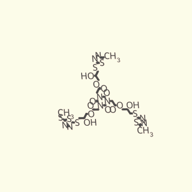 CSc1nnc(SCC(O)COC(=O)Cn2c(=O)n(CC(=O)OCC(O)CSc3nnc(C)s3)c(=O)n(CC(=O)OCC(O)CSc3nnc(C)s3)c2=O)s1